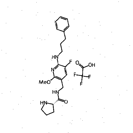 COc1nc(NCCCc2ccccc2)c(F)cc1CNC(=O)[C@@H]1CCCN1.O=C(O)C(F)(F)F